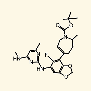 CNc1cc(C)nc(Nc2cc3c(c(C4=CCN(C(=O)OC(C)(C)C)C(C)CC4)c2F)OCO3)n1